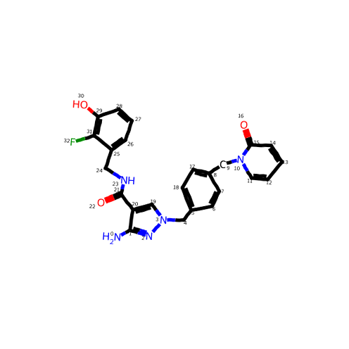 Nc1nn(Cc2ccc(Cn3ccccc3=O)cc2)cc1C(=O)NCc1cccc(O)c1F